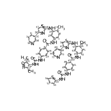 Cc1ccc(NC(=O)c2ccc(NC(=O)Nc3c(C)noc3C)cc2)cc1Nc1nc(-c2cccnc2)cs1.Cc1ccc(NC(=O)c2ccc(NC(=O)Nc3cccs3)cc2)cc1Nc1nc(-c2cccnc2)cs1